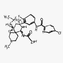 CN1CCC2(CC1)C(=NC(=O)O)NC(C)(c1cc(NC(=O)c3ccc(Cl)cn3)ccc1F)[C@@H](C(C)(C)C)S2(=O)=O